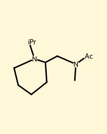 CC(=O)N(C)CC1CCCCN1C(C)C